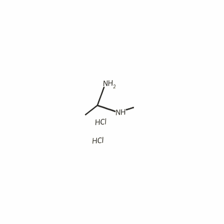 CNC(C)N.Cl.Cl